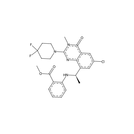 COC(=O)c1ccccc1N[C@H](C)c1cc(Cl)cc2c(=O)n(C)c(N3CCC(F)(F)CC3)nc12